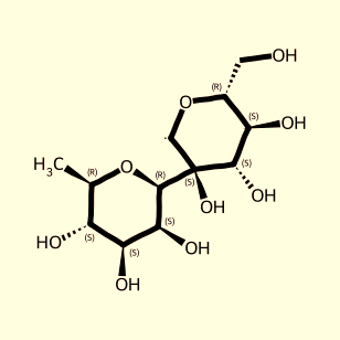 C[C@H]1O[C@@H]([C@]2(O)[CH]O[C@H](CO)[C@@H](O)[C@@H]2O)[C@@H](O)[C@@H](O)[C@@H]1O